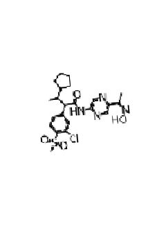 C/C(=N/O)c1cnc(NC(=O)C(c2ccc(S(C)(=O)=O)c(Cl)c2)C(C)C2CCCC2)cn1